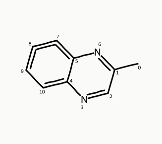 Cc1cnc2c(n1)=C=C=CC=2